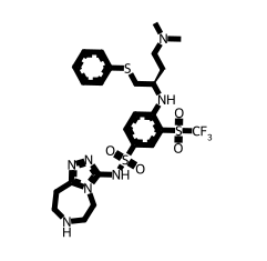 CN(C)CC[C@H](CSc1ccccc1)Nc1ccc(S(=O)(=O)Nc2nnc3n2CCNCC3)cc1S(=O)(=O)C(F)(F)F